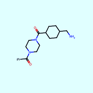 CC(C)C(=O)N1CCN(C(=O)C2CCC(CN)CC2)CC1